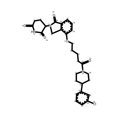 O=C1CCC(N2Cc3c(OCCCCC(=O)N4CCC(c5cccc(Cl)c5)CC4)cccc3C2=O)C(=O)N1